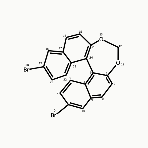 Brc1ccc2c3c(ccc2c1)OCOc1ccc2cc(Br)ccc2c1-3